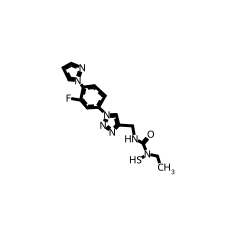 CCN(S)C(=O)NCc1cn(-c2ccc(-n3cccn3)c(F)c2)nn1